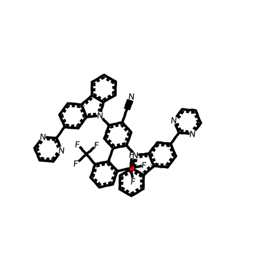 N#Cc1cc(-n2c3ccccc3c3ccc(-c4ncccn4)cc32)c(-c2c(C(F)(F)F)cccc2C(F)(F)F)cc1-n1c2ccccc2c2ccc(-c3ncccn3)cc21